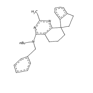 CCCCN(Cc1ccccc1)c1nc(C)nc2c1CCCC21CCc2ccccc21